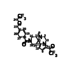 CN1CCn2c(C(=O)C(F)(F)F)ccc2C12CCN(C(=O)c1ccc(COCC(F)(F)F)cc1)CC2